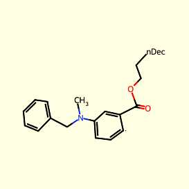 CCCCCCCCCCCCOC(=O)c1[c]ccc(N(C)Cc2ccccc2)c1